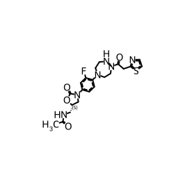 CC(=O)NC[C@H]1CN(c2ccc(N3CCNN(C(=O)Cc4nccs4)CC3)c(F)c2)C(=O)O1